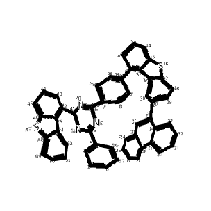 c1ccc(-c2nc(-c3ccc(-c4cccc5sc6ccc(-c7cc8ccccc8c8ccccc78)cc6c45)cc3)nc(-c3cccc4sc5ccccc5c34)n2)cc1